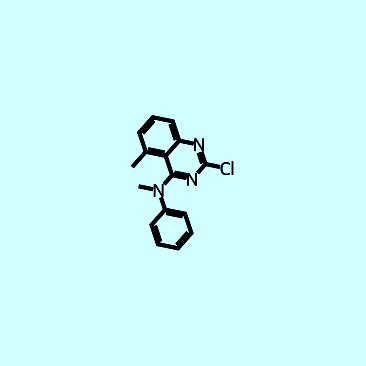 Cc1cccc2nc(Cl)nc(N(C)c3ccccc3)c12